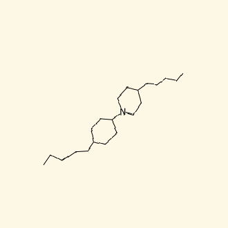 CCCCCC1CCC(N2CCC(CCCCC)CC2)CC1